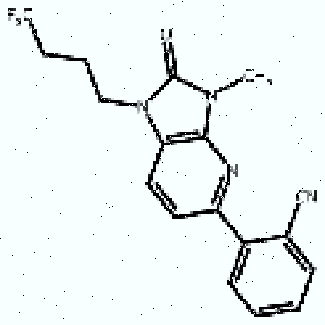 Cn1c(=O)n(CCCC(F)(F)F)c2ccc(-c3ccccc3C#N)nc21